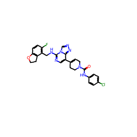 O=C(Nc1ccc(Cl)cc1)N1CC=C(c2cnc(NCc3c(F)ccc4c3CCO4)n3cnnc23)CC1